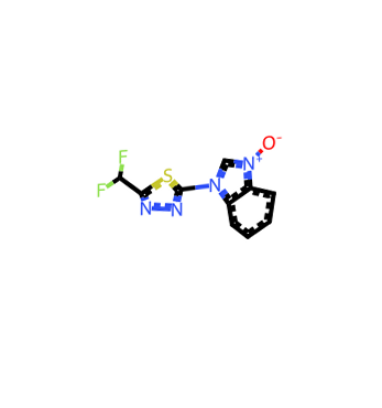 [O-][n+]1cn(-c2nnc(C(F)F)s2)c2ccccc21